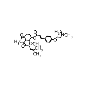 CO[C@H]1C([C@@]2(C)O[C@@H]2CC=C(C)C)[C@]2(CC[C@H]1OC(=O)/C=C/c1ccc(OCCN(C)C)cc1)CO2